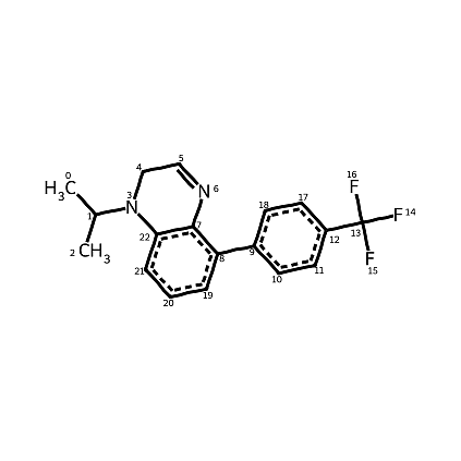 CC(C)N1CC=Nc2c(-c3ccc(C(F)(F)F)cc3)cccc21